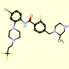 CC1CNCCN1Cc1ccc(C(=O)Nc2ccc(Cl)cc2N2CCN(CCC(F)(F)F)CC2)c(F)c1